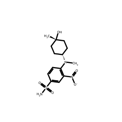 CN(c1ccc(S(N)(=O)=O)cc1[N+](=O)[O-])[C@H]1CC[C@@](C)(O)CC1